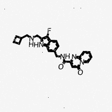 O=C(NCc1ccc2c(F)c(CNCC3CCC3)[nH]c2c1)c1cc(=O)n2ccccc2n1